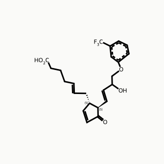 O=C(O)CCCC=CC[C@H]1C=CC(=O)[C@@H]1C=CC(O)COc1cccc(C(F)(F)F)c1